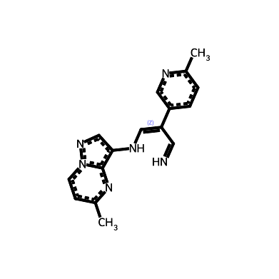 Cc1ccc(/C(C=N)=C/Nc2cnn3ccc(C)nc23)cn1